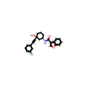 O=C(N[C@H]1CCC[C@@](O)(C#Cc2cccc(Cl)c2)C1)c1coc2ccccc12